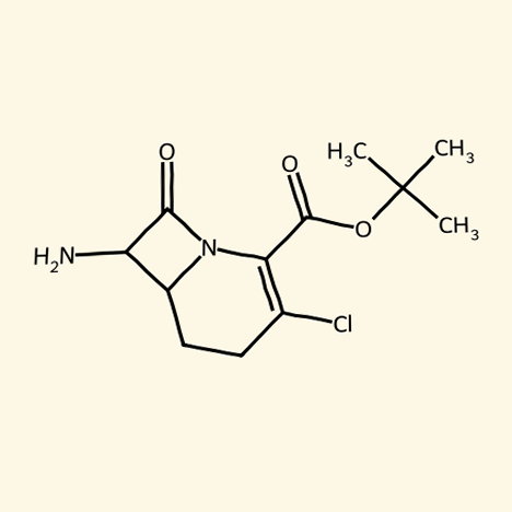 CC(C)(C)OC(=O)C1=C(Cl)CCC2C(N)C(=O)N12